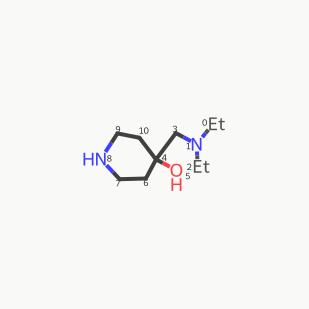 CCN(CC)CC1(O)CCNCC1